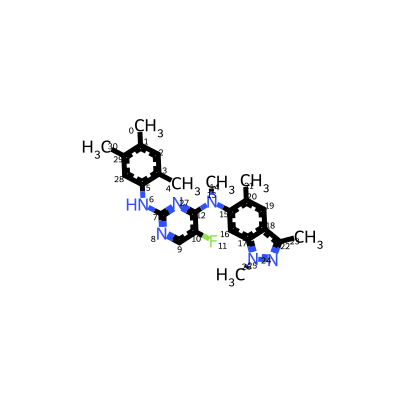 Cc1cc(C)c(Nc2ncc(F)c(N(C)c3cc4c(cc3C)c(C)nn4C)n2)cc1C